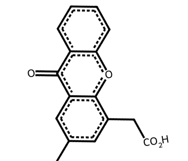 Cc1cc(CC(=O)O)c2oc3ccccc3c(=O)c2c1